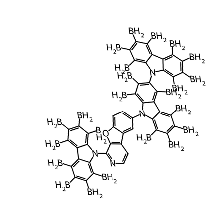 Bc1c(B)c(B)c2c(c1B)c1c(B)c(-n3c4c(B)c(B)c(B)c(B)c4c4c(B)c(B)c(B)c(B)c43)c(B)c(B)c1n2-c1ccc2oc3c(-n4c5c(B)c(B)c(B)c(B)c5c5c(B)c(B)c(B)c(B)c54)nccc3c2c1